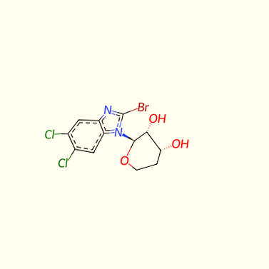 O[C@@H]1[C@H](O)CCO[C@H]1n1c(Br)nc2cc(Cl)c(Cl)cc21